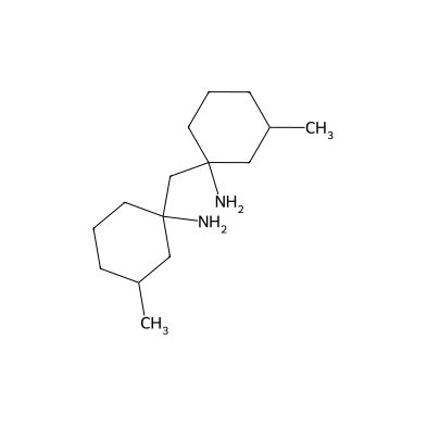 CC1CCCC(N)(CC2(N)CCCC(C)C2)C1